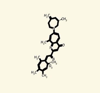 C=C1CCN(c2ccc3c(=O)cc(C(/C=C4/C(C)=C=C(C)C(C)=CC4C)=N/C)nc-3c(C)c2)C[C@@H](C)C1